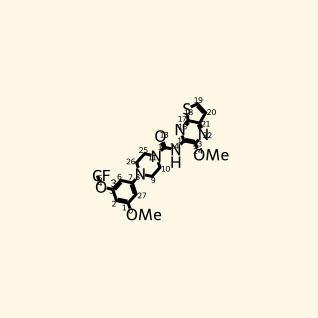 COc1cc(OC(F)(F)F)cc(N2CCN(C(=O)Nc3nc4sccc4nc3OC)CC2)c1